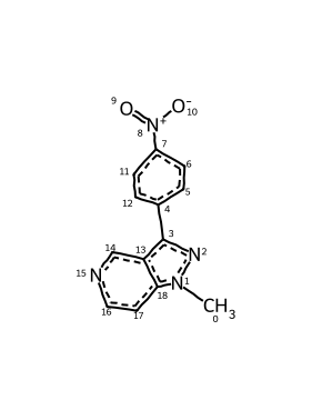 Cn1nc(-c2ccc([N+](=O)[O-])cc2)c2cnccc21